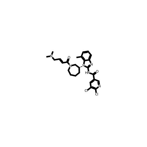 Cc1cccc2nc(NC(=O)c3cnc(Cl)c(Cl)c3)n([C@@H]3CCCCN(C(=O)C=CCN(C)C)C3)c12